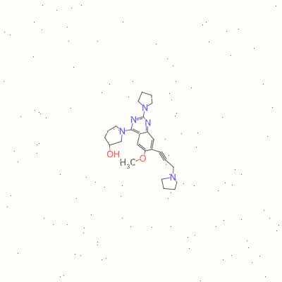 COc1cc2c(N3CCCC(O)C3)nc(N3CCCC3)nc2cc1C#CCN1CCCC1